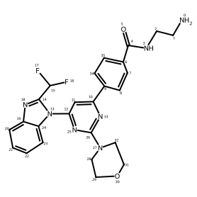 NCCNC(=O)c1ccc(-c2cc(-n3c(C(F)F)nc4ccccc43)nc(N3CCOCC3)n2)cc1